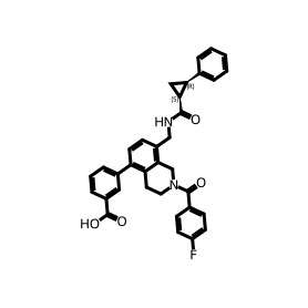 O=C(O)c1cccc(-c2ccc(CNC(=O)[C@H]3C[C@H]3c3ccccc3)c3c2CCN(C(=O)c2ccc(F)cc2)C3)c1